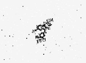 CCS(=O)(=O)c1ccc(Sc2c(C)c(CC(=O)O)n3ccc(C#N)cc23)cc1Cl